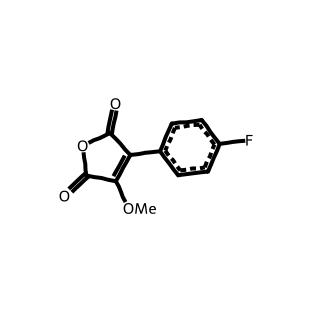 COC1=C(c2ccc(F)cc2)C(=O)OC1=O